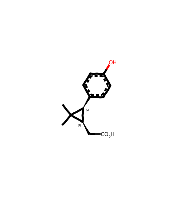 CC1(C)[C@H](CC(=O)O)[C@@H]1c1ccc(O)cc1